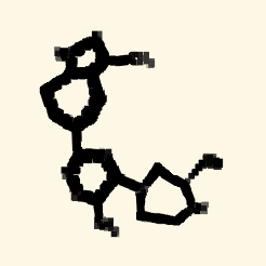 Cc1n[nH]c2ccc(-c3nnc(N)c(N4CCN[C@@H](C(C)(C)C)C4)n3)cc12